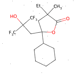 CCC1(C)CC(CC(O)(C(F)(F)F)C(F)(F)F)(C2CCCCC2)OC1=O